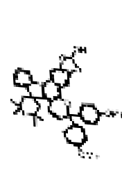 COc1ccc(C2(c3ccc(OC)cc3)C=Cc3c4c(c5cc6c(cc5c3O2)OC(O)O6)-c2ccccc2C42CC(C)(C)CC(C)(C)C2)cc1